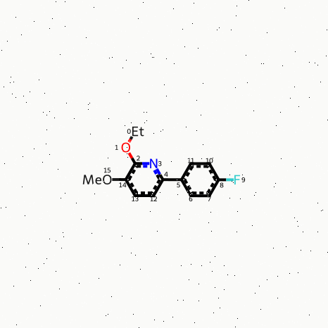 CCOc1nc(-c2ccc(F)cc2)ccc1OC